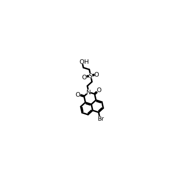 O=C1c2cccc3c(Br)ccc(c23)C(=O)N1CCS(=O)(=O)CCO